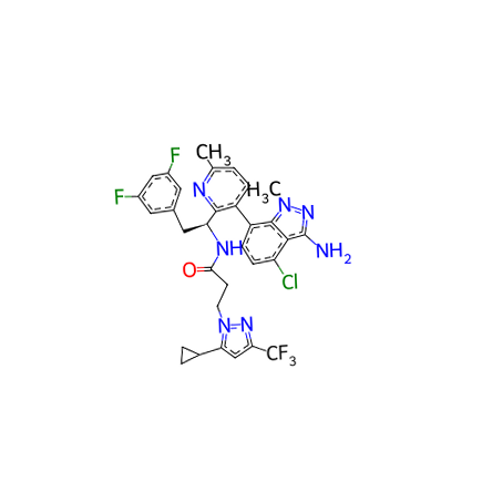 Cc1ccc(-c2ccc(Cl)c3c(N)nn(C)c23)c([C@H](Cc2cc(F)cc(F)c2)NC(=O)CCn2nc(C(F)(F)F)cc2C2CC2)n1